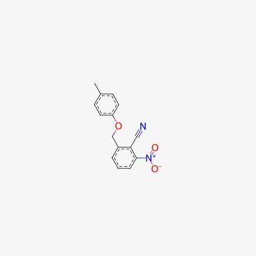 Cc1ccc(OCc2cccc([N+](=O)[O-])c2C#N)cc1